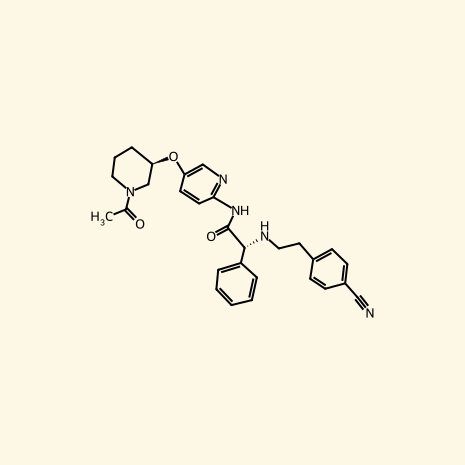 CC(=O)N1CCC[C@@H](Oc2ccc(NC(=O)[C@H](NCCc3ccc(C#N)cc3)c3ccccc3)nc2)C1